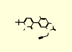 C#CCn1c(=O)sc2cc(F)c(-c3ccc(C(F)(F)F)n(C)c3=O)cc21